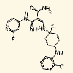 CCC1(N/C=C(\C(=N)Nc2ccnc(F)c2)C(N)=O)CCC(Nc2ccccc2Cl)CC1